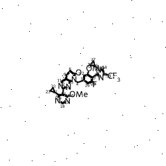 COc1cc(Cn2c(=O)ccc3cnc(-c4c(OC)ncnc4C4CC4)nc32)cc(F)c1-c1nc(C(F)(F)F)cn1C1CC1